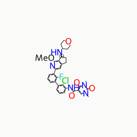 COc1nc(-c2cccc(-c3cccc(NC(=O)c4cn(C)c(=O)n(C)c4=O)c3Cl)c2F)cc2c1[C@@H](NC1CCOCC1)CC2